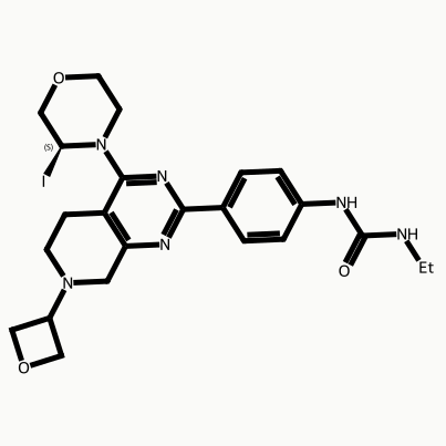 CCNC(=O)Nc1ccc(-c2nc3c(c(N4CCOC[C@@H]4I)n2)CCN(C2COC2)C3)cc1